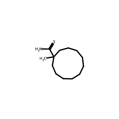 CC1(C(N)=S)CCCCCCCCCC1